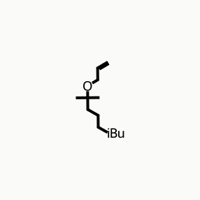 C=CCOC(C)(C)CCCC(C)CC